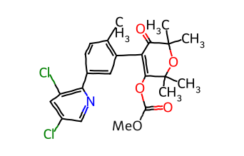 COC(=O)OC1=C(c2cc(-c3ncc(Cl)cc3Cl)ccc2C)C(=O)C(C)(C)OC1(C)C